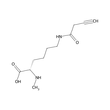 C#CCC(=O)NCCCC[C@H](NC)C(=O)O